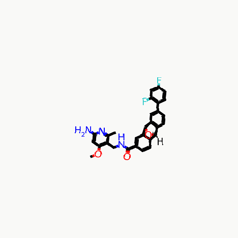 COc1cc(N)nc(C)c1CNC(=O)C1=CC2C3O[C@H](c4ccc(-c5ccc(F)cc5F)cc43)C2C=C1